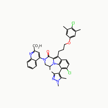 Cc1cc(OCCCc2c3n(c4c(-c5c(C)nn(C)c5C)c(Cl)ccc24)C(C)CN(c2cc(C(=O)O)nc4ccccc24)C3=O)cc(C)c1Cl